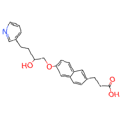 O=C(O)CCc1ccc2cc(OCC(O)CCc3cccnc3)ccc2c1